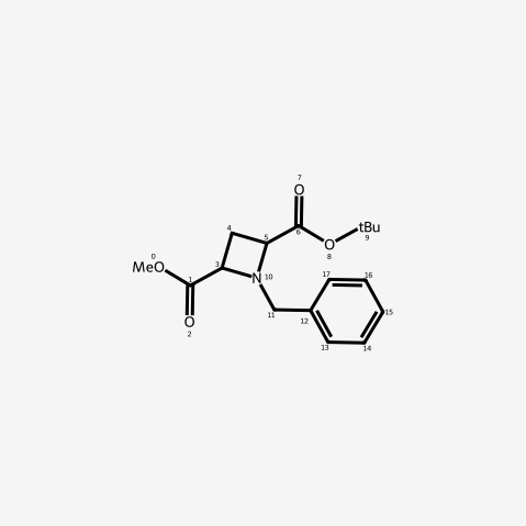 COC(=O)C1CC(C(=O)OC(C)(C)C)N1Cc1ccccc1